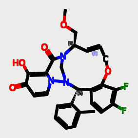 COC[C@H]1/C=C/COc2c(ccc(F)c2F)[C@H](c2ccccc2C)N2CN1C(=O)c1c(O)c(=O)ccn12